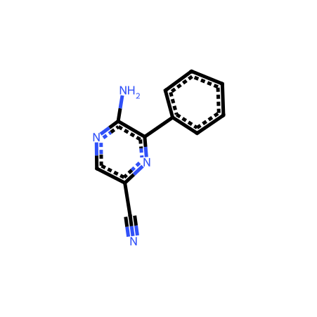 N#Cc1cnc(N)c(-c2ccccc2)n1